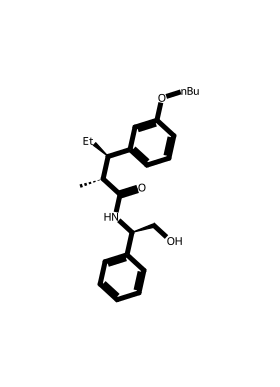 CCCCOc1cccc([C@H](CC)[C@@H](C)C(=O)N[C@@H](CO)c2ccccc2)c1